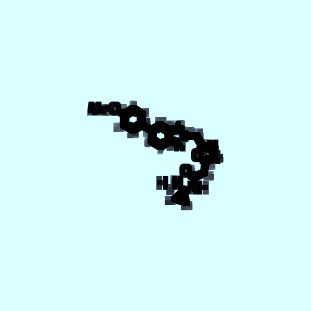 COc1ccc(-c2ccc3nc(Cc4nnc(CC(=O)NC5(N)CC5)o4)sc3c2)cc1